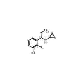 Fc1c(Cl)cccc1C(CC(F)(F)F)NC1CC1